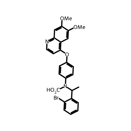 COc1cc2nccc(Oc3ccc(N(C(=O)O)C(C)c4ccccc4Br)cc3)c2cc1OC